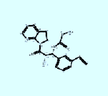 C=Cc1cccc([C@@H](NC(=O)OC(C)(C)C)[C@@H](C(=O)N2CCc3cccnc32)C(F)(F)F)c1